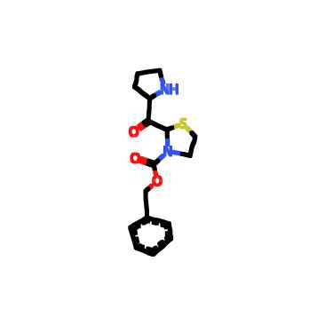 O=C(C1CCCN1)C1SCCN1C(=O)OCc1ccccc1